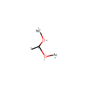 CC(=O)OC(C)OC#N